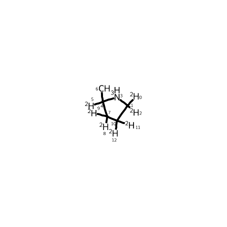 [2H]C1([2H])NC([2H])(C)C([2H])([2H])C1([2H])[2H]